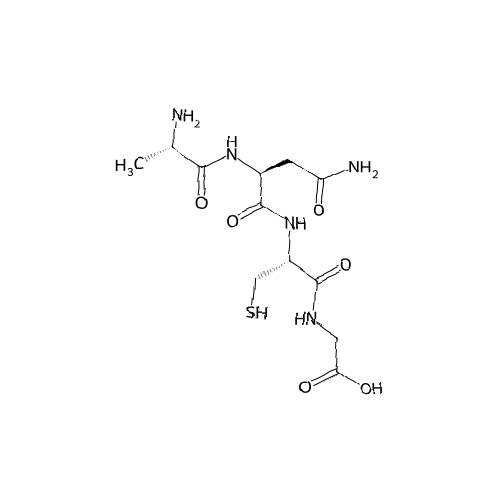 C[C@H](N)C(=O)N[C@@H](CC(N)=O)C(=O)N[C@@H](CS)C(=O)NCC(=O)O